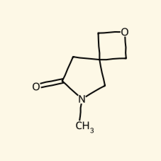 CN1CC2(COC2)CC1=O